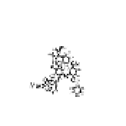 COC(=O)C12CC3CC(CC(Oc4c(F)c(Oc5cc(C#N)ccc5OCc5ccccc5)nc(Oc5ccccc5C5NCCN5C)c4F)(C3)C1)C2